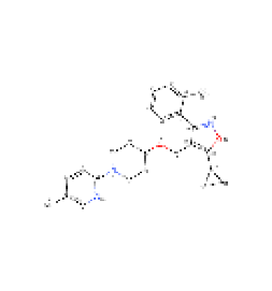 N#Cc1ccc(N2CCC(OCc3c(-c4ccccc4C(F)(F)F)noc3C3CC3)CC2)nc1